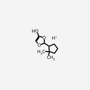 CC1(C)CCCC1C1OC=C(O)O1.[H+]